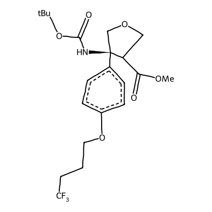 COC(=O)C1COC[C@@]1(NC(=O)OC(C)(C)C)c1ccc(OCCCC(F)(F)F)cc1